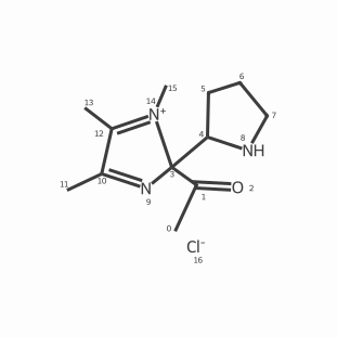 CC(=O)C1(C2CCCN2)N=C(C)C(C)=[N+]1C.[Cl-]